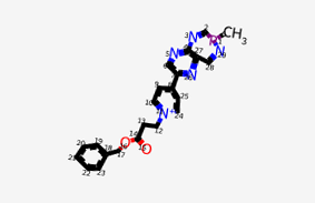 CP1C=Nc2ncc(-c3cc[n+](CCC(=O)OCc4ccccc4)cc3)nc2C=N1